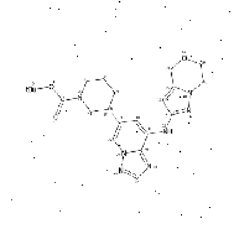 CC(C)(C)OC(=O)N1CCC[C@H](c2cc(Nc3cc4n(n3)CCOC4)c3ncnn3c2)C1